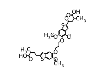 COc1cc2sc(CCC(C)C(=O)O)cc2cc1OCCCOc1c(OC)cc2sc(C(=O)CC(C)C(=O)O)cc2c1Cl